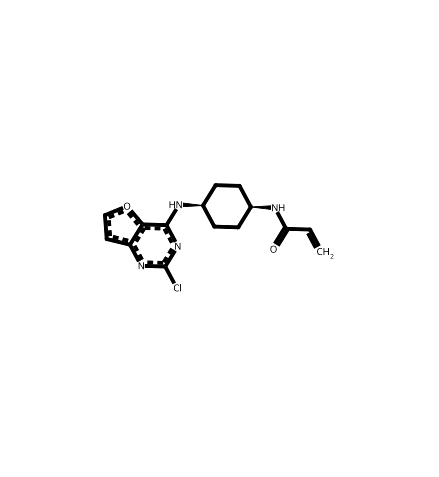 C=CC(=O)N[C@H]1CC[C@@H](Nc2nc(Cl)nc3ccoc23)CC1